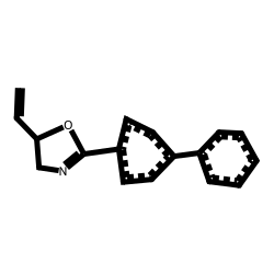 C=CC1CN=C(c2ccc(-c3ccccc3)cc2)O1